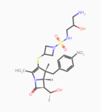 C[C@@H](O)[C@H]1C(=O)N2C(C(=O)O)=C(SC3CN(S(=O)(=O)NCC(O)CN)C3)[C@](C)(Cc3ccc([N+](=O)[O-])cc3)[C@H]12